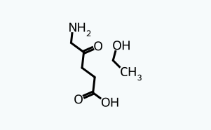 CCO.NCC(=O)CCC(=O)O